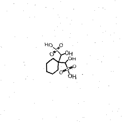 O=S(=O)(O)C(O)C1(C(O)S(=O)(=O)O)CCCCC1